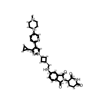 CN1CCN(c2ccc(-c3cn([C@H]4C[C@H](CNc5ccc6c(c5)C(=O)N(C5CCC(=O)NC5=O)C6=O)C4)nc3C3CC3)nc2)CC1